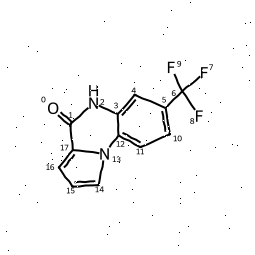 O=c1[nH]c2cc(C(F)(F)F)ccc2n2cccc12